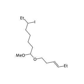 CCC=CCCOC(CCCCC(I)CC)OC